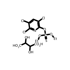 CCOP(=S)(OCC)Oc1nc(Cl)c(Cl)cc1Cl.O=C(O)C(O)C(O)C(=O)O